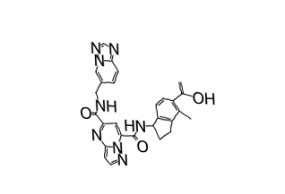 C=C(O)c1ccc2c(c1C)CCC2NC(=O)c1cc(C(=O)NCc2ccc3ncnn3c2)nc2ccnn12